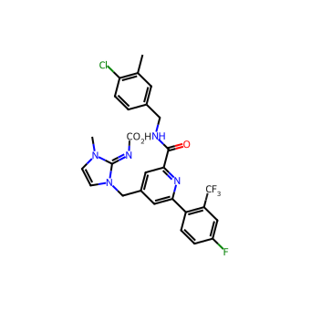 Cc1cc(CNC(=O)c2cc(Cn3ccn(C)c3=NC(=O)O)cc(-c3ccc(F)cc3C(F)(F)F)n2)ccc1Cl